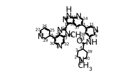 CN1CCC(C(=O)Nc2cncc(-c3cnc4[nH]nc(-c5nc6c(C7C=CC=NC7)cncc6n5C)c4c3)c2)CC1